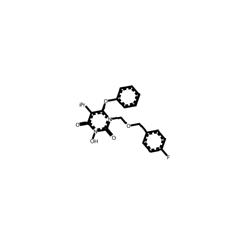 CC(C)c1c(Oc2ccccc2)n(COCc2ccc(F)cc2)c(=O)n(O)c1=O